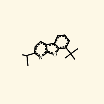 CC(C)c1ccc2c(n1)oc1c(C(C)(C)C)cccc12